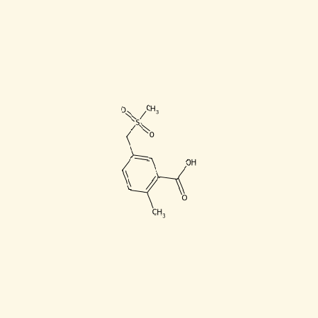 Cc1ccc(CS(C)(=O)=O)cc1C(=O)O